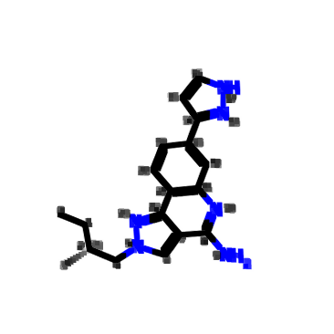 CC[C@@H](C)Cn1cc2c(N)nc3cc(-c4cc[nH]n4)ccc3c2n1